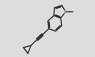 Cn1ccc2cc(C#CC3CC3)ccc21